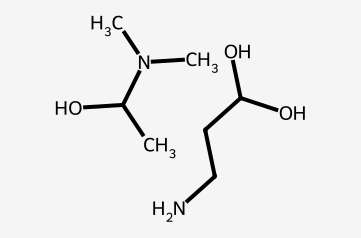 CC(O)N(C)C.NCCC(O)O